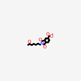 COC(=O)c1ccc2c(c1)C(=O)N(CCCCCC(C)=O)C2=O